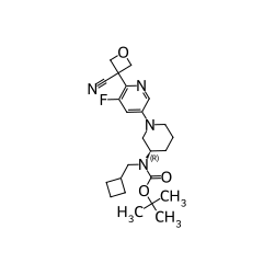 CC(C)(C)OC(=O)N(CC1CCC1)[C@@H]1CCCN(c2cnc(C3(C#N)COC3)c(F)c2)C1